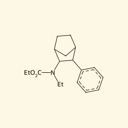 CCOC(=O)N(CC)C1C2CCC(C2)C1c1ccccc1